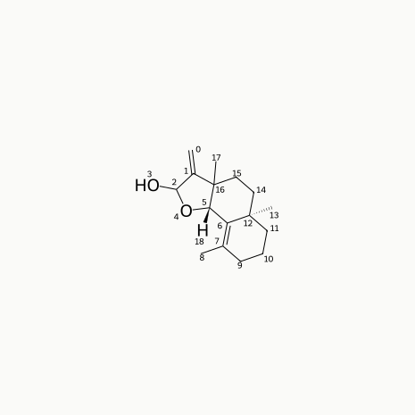 C=C1C(O)O[C@H]2C3=C(C)CCC[C@]3(C)CCC12C